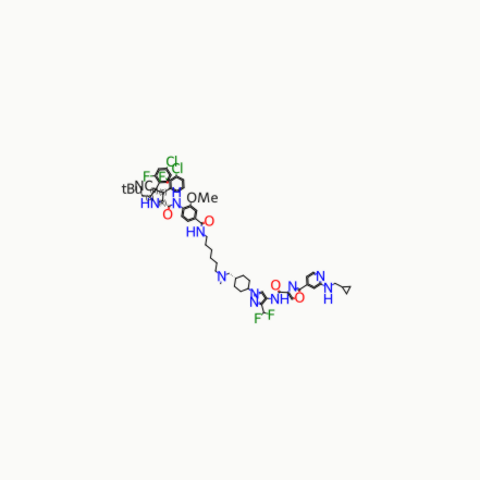 COc1cc(C(=O)NCCCCCCN(C)C[C@H]2CC[C@H](n3cc(NC(=O)c4coc(-c5ccnc(NCC6CC6)c5)n4)c(C(F)F)n3)CC2)ccc1NC(=O)[C@@H]1N[C@@H](CC(C)(C)C)[C@](C#N)(c2ccc(Cl)cc2F)[C@H]1c1cccc(Cl)c1F